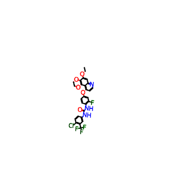 CCOc1cc2nccc(Oc3ccc(NC(=O)Nc4ccc(Cl)c(C(F)(F)F)c4)c(F)c3)c2c2c1OCCO2